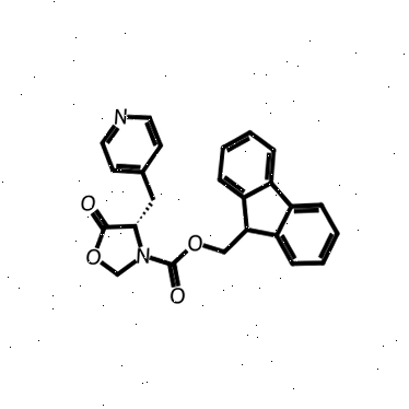 O=C1OCN(C(=O)OCC2c3ccccc3-c3ccccc32)[C@H]1Cc1ccncc1